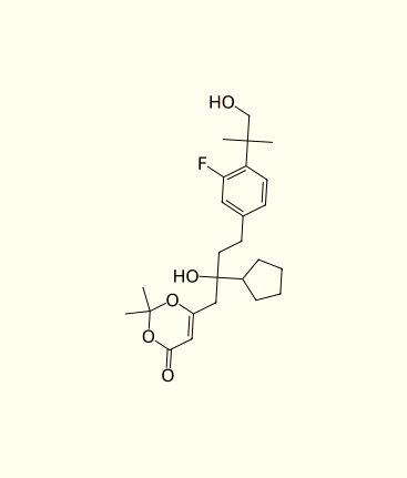 CC1(C)OC(=O)C=C(CC(O)(CCc2ccc(C(C)(C)CO)c(F)c2)C2CCCC2)O1